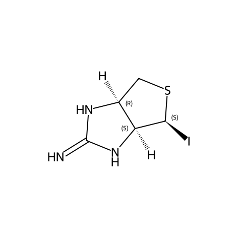 N=C1N[C@H]2[C@H](CS[C@H]2I)N1